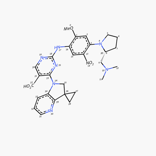 COc1cc(N2CCC[C@@H]2CN(C)C)c([N+](=O)[O-])cc1Nc1ncc(C(=O)O)c(N2CC3(CC3)c3ncccc32)n1